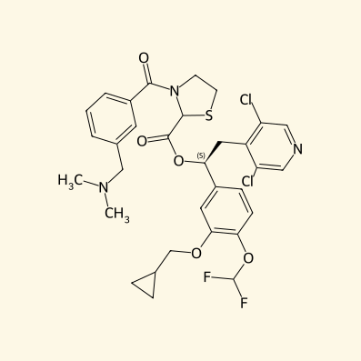 CN(C)Cc1cccc(C(=O)N2CCSC2C(=O)O[C@@H](Cc2c(Cl)cncc2Cl)c2ccc(OC(F)F)c(OCC3CC3)c2)c1